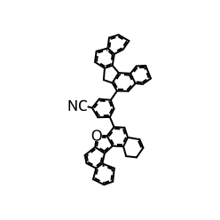 N#Cc1cc(-c2cc3ccccc3c3c2Cc2ccc4ccccc4c2-3)cc(-c2cc3c(c4c2oc2ccc5ccccc5c24)CCC=C3)c1